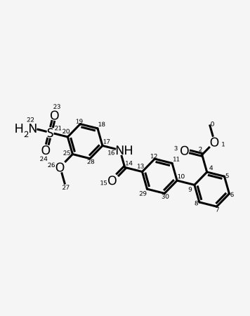 COC(=O)c1ccccc1-c1ccc(C(=O)Nc2ccc(S(N)(=O)=O)c(OC)c2)cc1